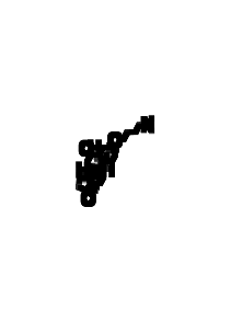 CN(C)CCCCO[C@H]1CC[C@@]2(C)[C@H](C1)C(=O)C[C@@H]1[C@@H]2CC[C@]2(C)C(=O)CC[C@@H]12